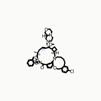 CO[C@]1(CN2CCN3CCOC[C@@H]3C2)/C=C/C[C@H](C)[C@@H](Cc2ccccc2)S(=O)(=O)NC(=O)c2ccc3c(c2)N(CCCCc2cc(Cl)ccc2CO3)C[C@@H]2CCC21